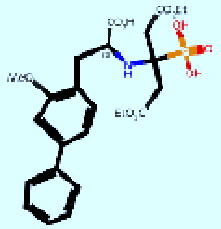 CCOC(=O)CC(CC(=O)OCC)(N[C@@H](Cc1ccc(-c2ccccc2)cc1OC)C(=O)O)P(=O)(O)O